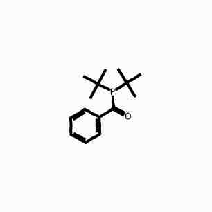 CC(C)(C)P(C(=O)c1ccccc1)C(C)(C)C